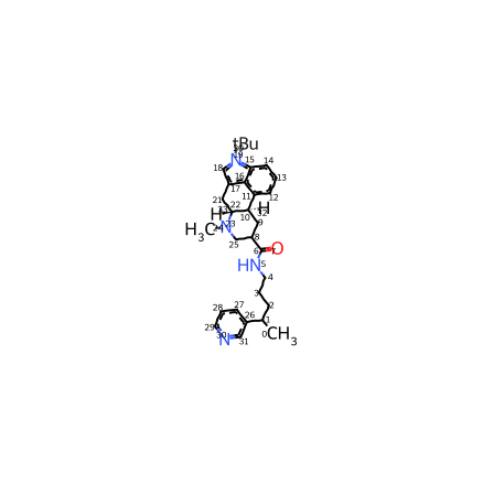 CC(CCCNC(=O)C1C[C@@H]2c3cccc4c3c(cn4C(C)(C)C)C[C@H]2N(C)C1)c1cccnc1